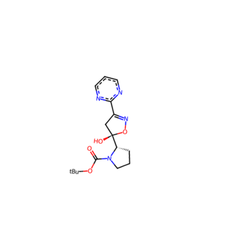 CC(C)(C)OC(=O)N1CCC[C@H]1[C@]1(O)CC(c2ncccn2)=NO1